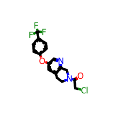 O=C(CCl)N1CCc2cc(Oc3ccc(C(F)(F)F)cc3)cnc2C1